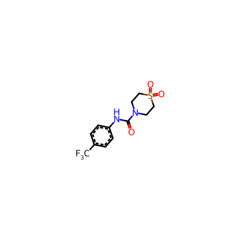 O=C(Nc1ccc(C(F)(F)F)cc1)N1CCS(=O)(=O)CC1